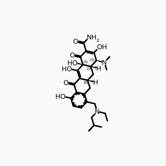 CCN(Cc1ccc(O)c2c1C[C@H]1C[C@H]3[C@H](N(C)C)C(O)=C(C(N)=O)C(=O)[C@@]3(O)C(O)=C1C2=O)CC(C)C